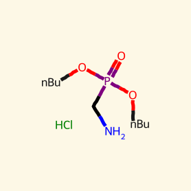 CCCCOP(=O)(CN)OCCCC.Cl